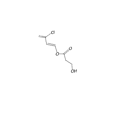 C=C(Cl)C=COC(=O)CCO